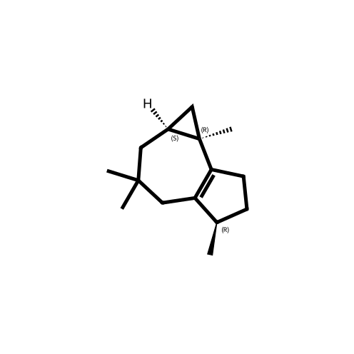 C[C@@H]1CCC2=C1CC(C)(C)C[C@H]1C[C@@]21C